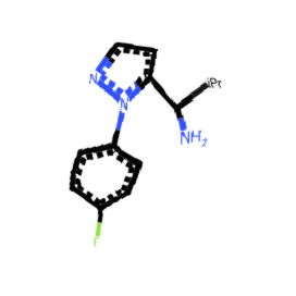 CC(C)C(N)c1ccnn1-c1ccc(F)cc1